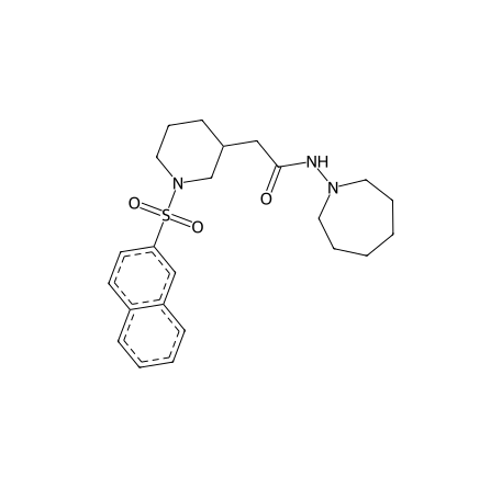 O=C(CC1CCCN(S(=O)(=O)c2ccc3ccccc3c2)C1)NN1CCCCCC1